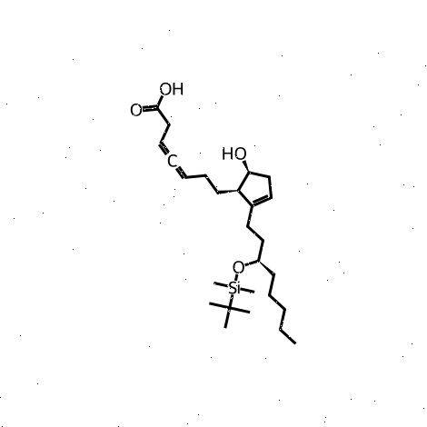 CCCCC[C@H](CCC1=CC[C@H](O)[C@@H]1CCC=C=CCC(=O)O)O[Si](C)(C)C(C)(C)C